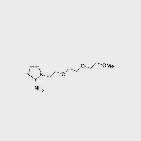 COCCOCCOCCN1C=CSC1N